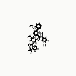 CCOc1ccccc1-c1ccc(N2CCN(C(=O)N3CCC[C@H]3C(C)(C)C)C[C@H]2CC)c(C(=O)N[C@@H]2CCNC2)n1